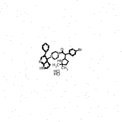 CC1(C)CCC(C(C(=O)N2CCN(c3c(-c4ccccc4)cnc4[nH]ccc34)CC2)c2ccc(Br)cc2)N1.Cl.Cl